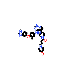 COC1CCN(C/C=C/C(=O)N2CCC(c3ccn4ncnc(Nc5ccc(Oc6ccc7c(c6)ncn7C)c(C)c5)c34)CC2)CC1